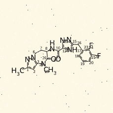 Cc1cc2n(n1)CC[C@@H](NC(=O)c1nnc(Cc3cccc(F)c3F)[nH]1)C(=O)N2C